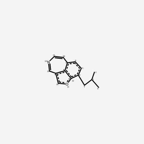 CC(C)Cc1ccc2c3c(coc13)C=NC=C2